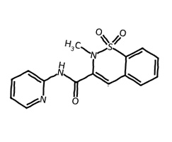 CN1C(C(=O)Nc2ccccn2)=[C]c2ccccc2S1(=O)=O